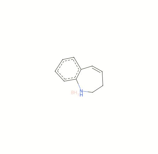 B.C1=Cc2ccccc2NCC1